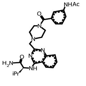 CC(=O)Nc1cccc(C(=O)N2CCN(Cc3nc(N[C@H](C(N)=O)C(C)C)c4ccccc4n3)CC2)c1